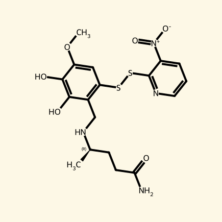 COc1cc(SSc2ncccc2[N+](=O)[O-])c(CN[C@H](C)CCC(N)=O)c(O)c1O